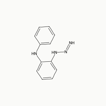 N=NNc1ccccc1Nc1ccccc1